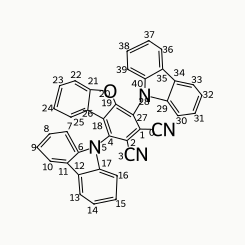 N#Cc1c(C#N)c(-n2c3ccccc3c3ccccc32)c2c(oc3ccccc32)c1-n1c2ccccc2c2ccccc21